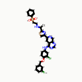 CCC(NCCS(=O)(=O)c1ccccc1)c1nc(-c2cc3c(Nc4ccc(OCc5cccc(F)c5)c(Br)c4)ncnc3cn2)cs1